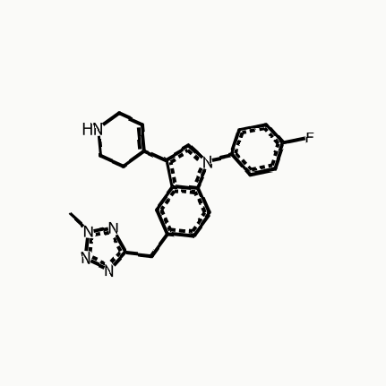 Cn1nnc(Cc2ccc3c(c2)c(C2=CCNCC2)cn3-c2ccc(F)cc2)n1